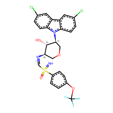 N=S(=O)(/C=N\[C@@H]1COC[C@H](n2c3ccc(Cl)cc3c3cc(Cl)ccc32)[C@H]1O)c1ccc(OC(F)(F)F)cc1